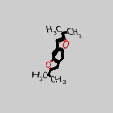 CC(C)c1cc2cc3oc(C(C)C)cc3cc2o1